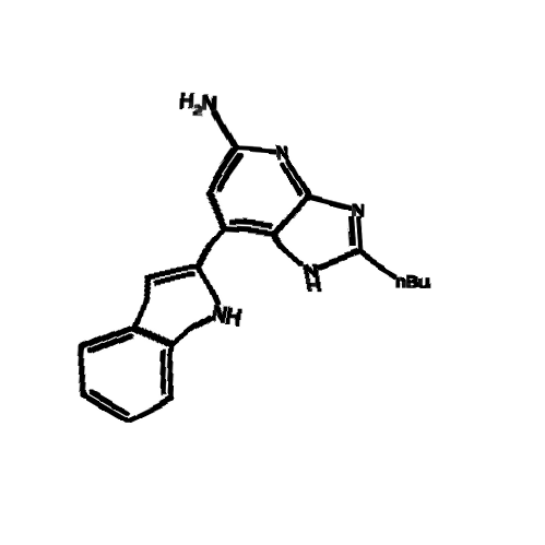 CCCCc1nc2nc(N)cc(-c3cc4ccccc4[nH]3)c2[nH]1